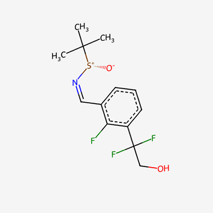 CC(C)(C)[S@+]([O-])/N=C\c1cccc(C(F)(F)CO)c1F